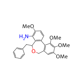 COc1ccc2c(c1N)C(Cc1ccccc1)OCc1cc(OC)c(OC)c(OC)c1-2